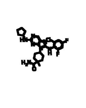 CC1(C(N)=O)CCC(n2c(Nc3c(F)cc(F)cc3Cl)nc3cnc(NC4CCCC4)nc32)CC1